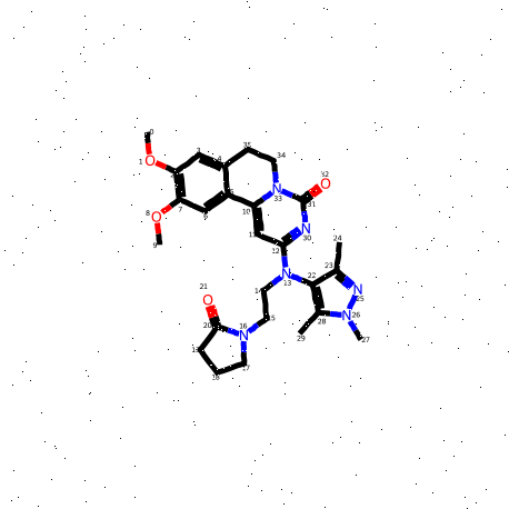 COc1cc2c(cc1OC)-c1cc(N(CCN3CCCC3=O)c3c(C)nn(C)c3C)nc(=O)n1CC2